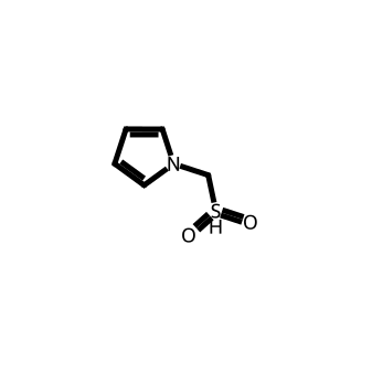 O=[SH](=O)Cn1cccc1